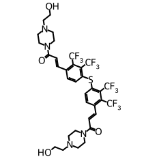 O=C(C=Cc1ccc(Sc2ccc(C=CC(=O)N3CCN(CCO)CC3)c(C(F)(F)F)c2C(F)(F)F)c(C(F)(F)F)c1C(F)(F)F)N1CCN(CCO)CC1